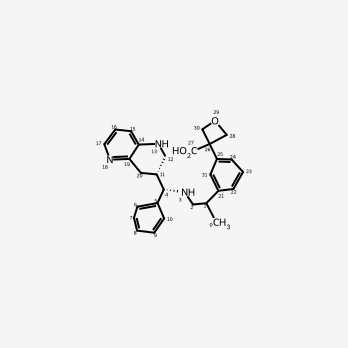 CC(CN[C@H](c1ccccc1)[C@H]1CNc2cccnc2C1)c1cccc(C2(C(=O)O)COC2)c1